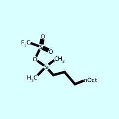 CCCCCCCCCCC[Si](C)(C)OS(=O)(=O)C(F)(F)F